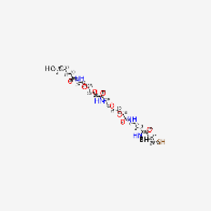 BN[C@H](CCCCNC(=O)COCCOCCNC(=O)COCCOCCNC(=O)CCCC(=O)O)C(=O)CCCS